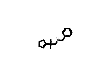 CC(C)(CNCc1ccccc1)C1=CCCC1